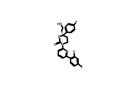 O=C1O[C@@](CCO)(c2ccc(F)cc2)CCN1c1cccc(-c2ccc(F)cc2F)n1